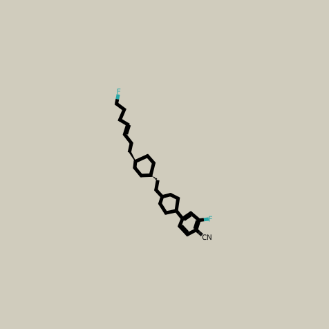 N#Cc1ccc(C2CCC(CC[C@H]3CC[C@H](CC/C=C/CCCF)CC3)CC2)cc1F